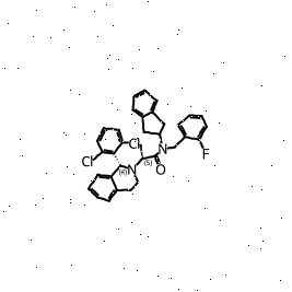 C[C@@H](C(=O)N(Cc1ccccc1F)C1Cc2ccccc2C1)N1CCc2ccccc2[C@@H]1c1c(Cl)cccc1Cl